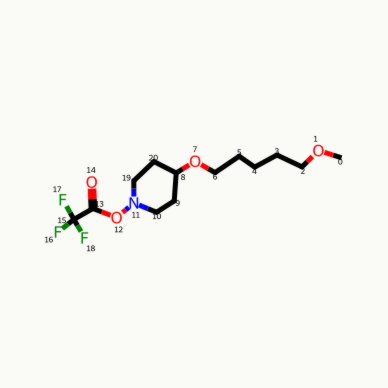 COCCCCCOC1CCN(OC(=O)C(F)(F)F)CC1